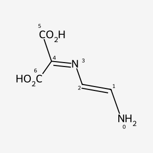 NC=CN=C(C(=O)O)C(=O)O